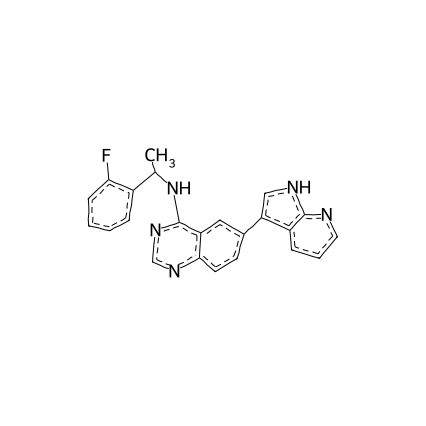 CC(Nc1ncnc2ccc(-c3c[nH]c4ncccc34)cc12)c1ccccc1F